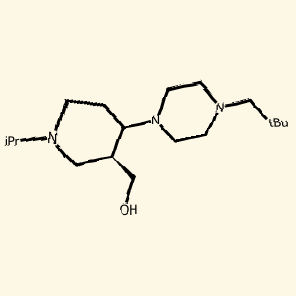 CC(C)N1CCC(N2CCN(CC(C)(C)C)CC2)[C@@H](CO)C1